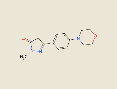 CN1N=C(c2ccc(N3CCOCC3)cc2)CC1=O